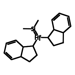 C[Si](C)=[Hf]([CH]1CCC2C=CC=CC21)[CH]1CCC2C=CC=CC21